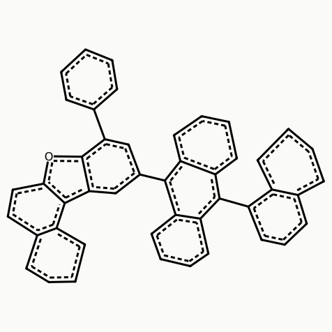 c1ccc(-c2cc(-c3c4ccccc4c(-c4cccc5ccccc45)c4ccccc34)cc3c2oc2ccc4ccccc4c23)cc1